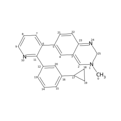 CN1C=c2cc(-c3cccnc3-c3cccc(C4CC4)c3)ccc2=NC1